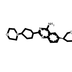 Nc1nc(C2CCC(N3CCOCC3)CC2)nc2ccc([C@@H]3CCCOC3)cc12